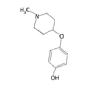 CN1CCC(Oc2ccc(O)cc2)CC1